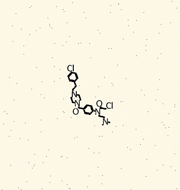 CN(C)CCN(C(=O)CCl)c1ccc(C(=O)N2CCN(CCc3ccc(Cl)cc3)CC2)cc1